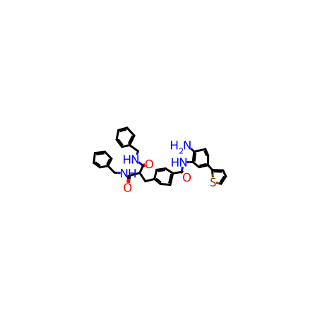 Nc1ccc(-c2cccs2)cc1NC(=O)c1ccc(CC(C(=O)NCc2ccccc2)C(=O)NCc2ccccc2)cc1